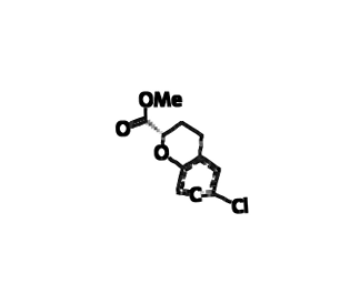 COC(=O)[C@@H]1CCc2cc(Cl)ccc2O1